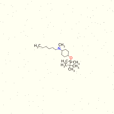 CCCCCCN(C)C1CCC(O[Si](C)(C)C(C)(C)C)CC1